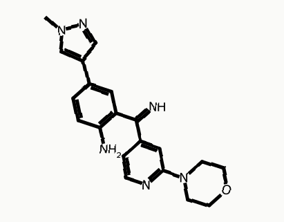 Cn1cc(-c2ccc(N)c(C(=N)c3ccnc(N4CCOCC4)c3)c2)cn1